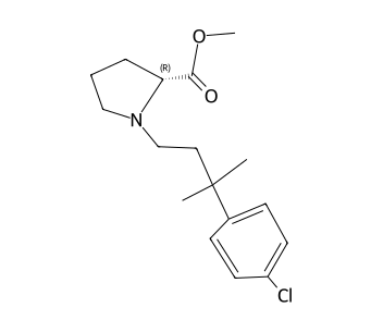 COC(=O)[C@H]1CCCN1CCC(C)(C)c1ccc(Cl)cc1